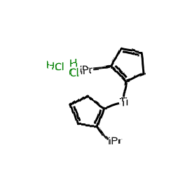 CC(C)C1=[C]([Ti][C]2=C(C(C)C)C=CC2)CC=C1.Cl.Cl